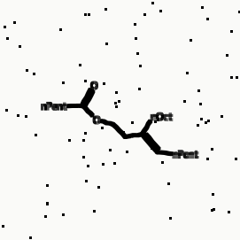 CCCCC/C=C(\CCCCCCCC)CCOC(=O)CCCCC